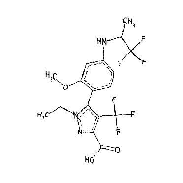 CCn1nc(C(=O)O)c(C(F)(F)F)c1-c1ccc(NC(C)C(F)(F)F)cc1OC